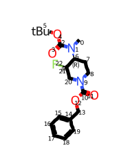 CN(C(=O)OC(C)(C)C)[C@@H]1CCN(C(=O)OCc2ccccc2)C[C@H]1F